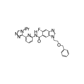 CC(C)n1cnnc1-c1cccc(NC(=O)c2cc3c(cc2F)ncn3CCOCc2ccccc2)n1